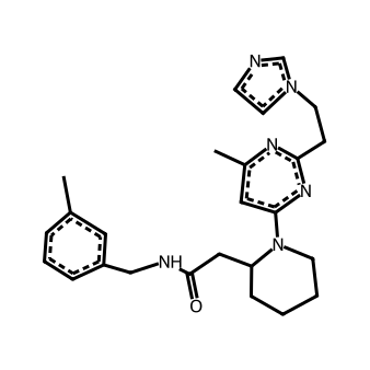 Cc1cccc(CNC(=O)CC2CCCCN2c2cc(C)nc(CCn3ccnc3)n2)c1